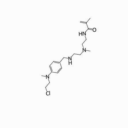 C=C(C)C(=O)NCCN(C)CCNCc1ccc(N(C)CCCl)cc1